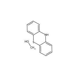 CO.c1ccc2c(c1)Nc1ccccc1S2